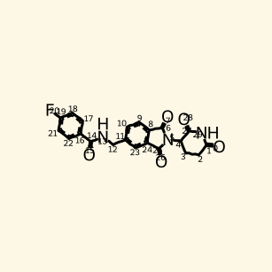 O=C1CCC(N2C(=O)c3ccc(CNC(=O)c4ccc(F)cc4)cc3C2=O)C(=O)N1